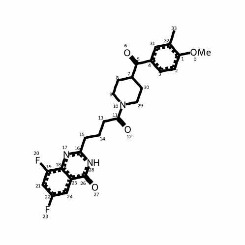 COc1ccc(C(=O)C2CCN(C(=O)CCCc3nc4c(F)cc(F)cc4c(=O)[nH]3)CC2)cc1C